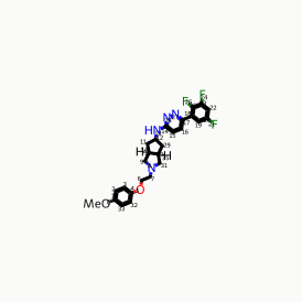 COc1ccc(OCCN2C[C@H]3CC(Nc4ccc(-c5cc(F)cc(F)c5F)nn4)C[C@H]3C2)cc1